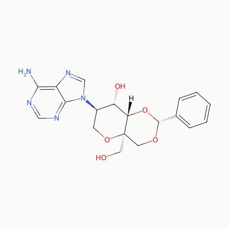 Nc1ncnc2c1ncn2[C@@H]1CO[C@]2(CO)CO[C@@H](c3ccccc3)O[C@H]2[C@H]1O